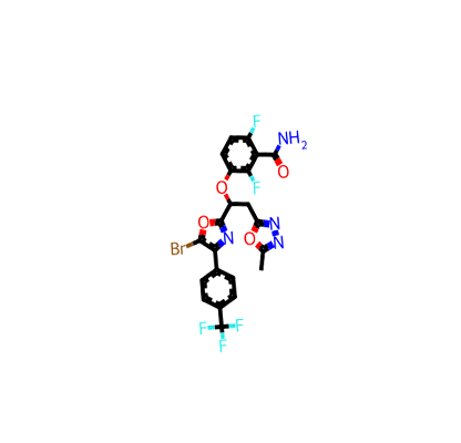 Cc1nnc(CC(Oc2ccc(F)c(C(N)=O)c2F)c2nc(-c3ccc(C(F)(F)F)cc3)c(Br)o2)o1